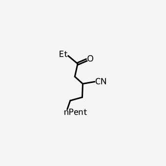 CCCCCCCC(C#N)CC(=O)CC